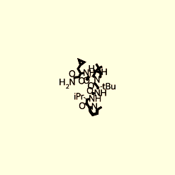 Cc1cccc(C(=O)[C@@H](NC(=O)N[C@H](C(=O)N2C[C@H]3[C@@H]([C@H]2C(=O)NC(CC2CC2)C(=O)C(N)=O)C3(C)C)C(C)(C)C)C(C)C)n1